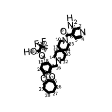 Nc1cnccc1C(=O)N1CCC2(CCN(Cc3cccc4c3OC3(CCCCCC3)O4)CC2)CC1.O=C(O)C(F)(F)F